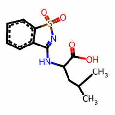 CC(C)CC(NC1=NS(=O)(=O)c2ccccc21)C(=O)O